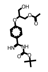 CC(=O)OCC(CO)Oc1ccc(C(=N)NC(=O)OC(C)(C)C)cc1